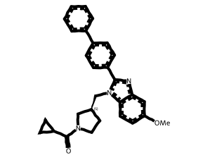 COc1ccc2c(c1)nc(-c1ccc(-c3ccccc3)cc1)n2C[C@H]1CCN(C(=O)C2CC2)C1